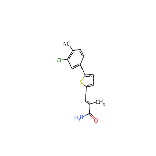 C/C(=C\c1ccc(-c2ccc(C#N)c(Cl)c2)s1)C(N)=O